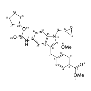 COC(=O)c1ccc(Cc2cn(CC3CC3)c3ccc(NC(=O)OC4CCCC4)cc23)c(OC)c1